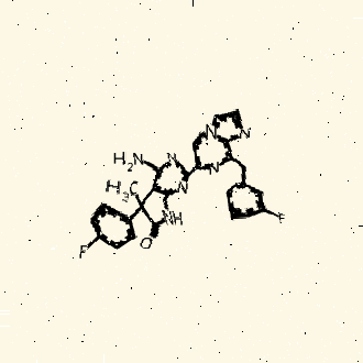 CC1(c2ccc(F)cc2)C(=O)Nc2nc(-c3cn4ccnc4c(Cc4cccc(F)c4)n3)nc(N)c21